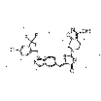 O=C1N=C(N2CCc3c(O)noc3C2)SC1=Cc1ccc2c(cnn2Cc2ccc(Cl)cc2C(F)(F)F)c1